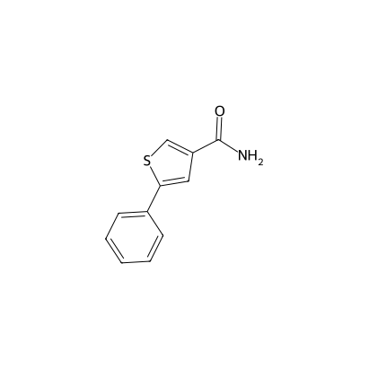 NC(=O)c1csc(-c2ccccc2)c1